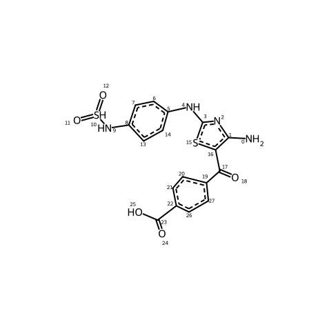 Nc1nc(Nc2ccc(N[SH](=O)=O)cc2)sc1C(=O)c1ccc(C(=O)O)cc1